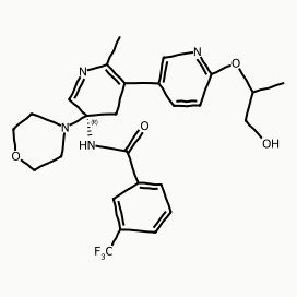 CC1=C(c2ccc(OC(C)CO)nc2)C[C@@](NC(=O)c2cccc(C(F)(F)F)c2)(N2CCOCC2)C=N1